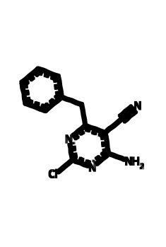 N#Cc1c(N)nc(Cl)nc1Cc1ccccc1